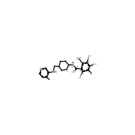 Cc1ccncc1NCC1CCC(NC(=O)c2c(F)c(C)c(F)c(F)c2Cl)CC1